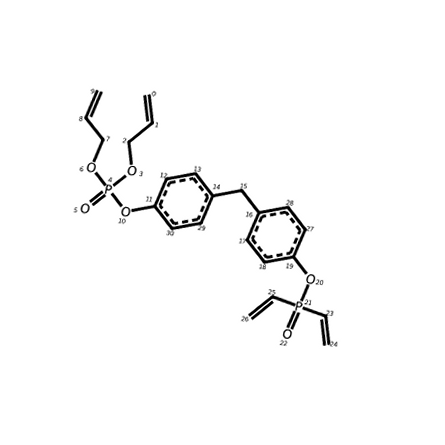 C=CCOP(=O)(OCC=C)Oc1ccc(Cc2ccc(OP(=O)(C=C)C=C)cc2)cc1